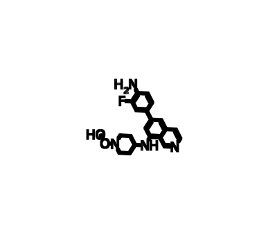 Nc1ccc(-c2cc(NC3CCN(OO)CC3)c3cnccc3c2)cc1F